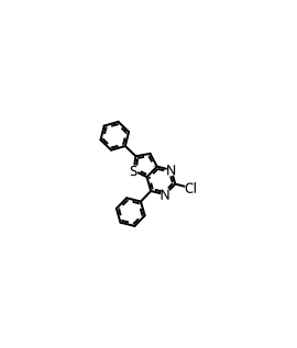 Clc1nc(-c2ccccc2)c2sc(-c3ccccc3)cc2n1